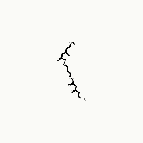 CCCC(=O)CC(=O)OOCCCOOC(=O)CC(=O)CCC